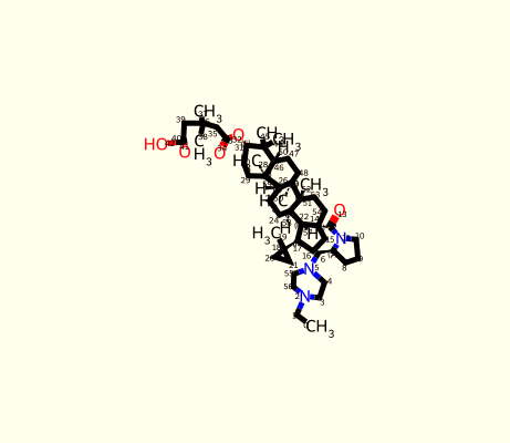 CCN1CCN(C[C@@H]2CCCN2C(=O)[C@]23CC[C@@H](C4(C)CC4)[C@@H]2[C@H]2CC[C@@H]4[C@@]5(C)CC[C@H](OC(=O)CC(C)(C)CC(=O)O)C(C)(C)[C@@H]5CC[C@@]4(C)[C@]2(C)CC3)CC1